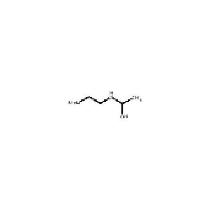 CNCCNC(C)O